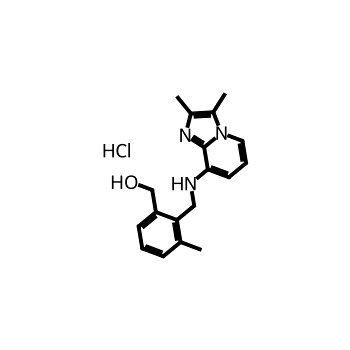 Cc1cccc(CO)c1CNc1cccn2c(C)c(C)nc12.Cl